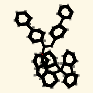 c1ccc(-c2ccc(CC(c3ccc(-c4ccccc4)cc3)c3ccc4sc5cccc(C6(c7ccccc7)c7ccccc7-c7ccccc76)c5c4c3)cc2)cc1